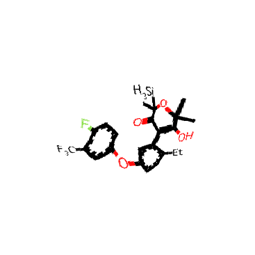 CCc1ccc(Oc2ccc(F)c(C(F)(F)F)c2)cc1C1=C(O)C(C)(C)OC(C)([SiH3])C1=O